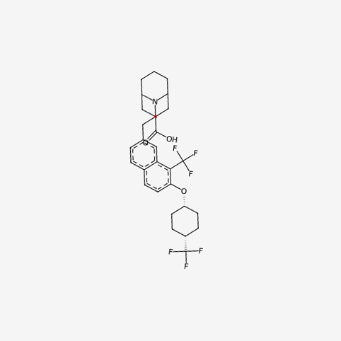 O=C(O)C1CC2CCCC(C1)N2CCc1ccc2ccc(O[C@H]3CC[C@@H](C(F)(F)F)CC3)c(C(F)(F)F)c2c1